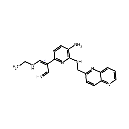 N=C/C(=C\NCC(F)(F)F)c1ccc(N)c(NCc2ccc3ncccc3n2)n1